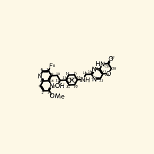 COc1ccc2ncc(F)c(CC(O)C34CCC(NCc5ncc6c(n5)NC(=O)CO6)(CC3)CO4)c2n1